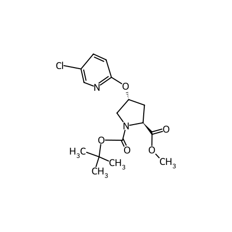 COC(=O)[C@@H]1C[C@@H](Oc2ccc(Cl)cn2)CN1C(=O)OC(C)(C)C